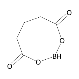 O=C1CCCC(=O)OBO1